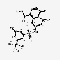 CNC(C)c1ccc(F)c2c1NC(NS(=O)(=O)c1cc(Cl)cc(C(C)(N)O)c1)=CC2C